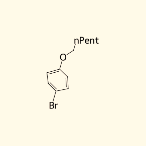 CCC[CH]CCOc1ccc(Br)cc1